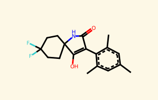 Cc1cc(C)c(C2=C(O)C3(CCC(F)(F)CC3)NC2=O)c(C)c1